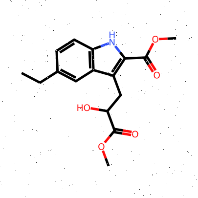 CCc1ccc2[nH]c(C(=O)OC)c(CC(O)C(=O)OC)c2c1